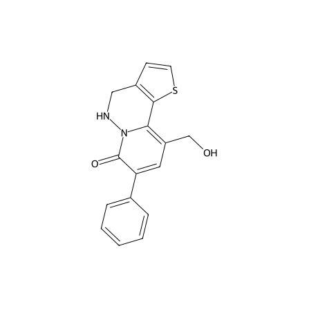 O=c1c(-c2ccccc2)cc(CO)c2n1NCc1ccsc1-2